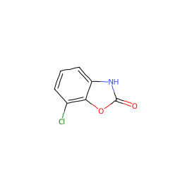 O=c1[nH]c2cccc(Cl)c2o1